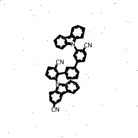 N#Cc1ccc2c(c1)c1ccccc1n2-c1cccc(C#N)c1-c1cccc(-c2ccc(C#N)c(-n3c4ccccc4c4ccccc43)c2)c1